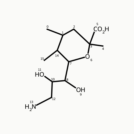 CC1CC(C)(C(=O)O)OC(C(O)C(O)CN)C1C